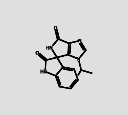 CC(C)n1cnc2c1C1(NC2=O)C(=O)Nc2ccccc21